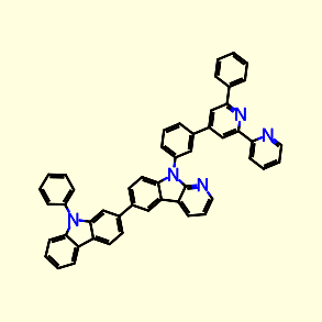 c1ccc(-c2cc(-c3cccc(-n4c5ccc(-c6ccc7c8ccccc8n(-c8ccccc8)c7c6)cc5c5cccnc54)c3)cc(-c3ccccn3)n2)cc1